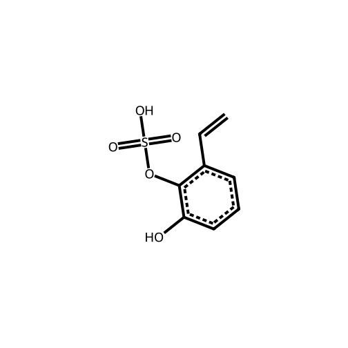 C=Cc1cccc(O)c1OS(=O)(=O)O